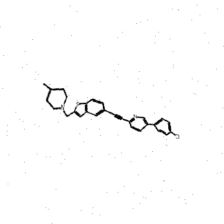 CC1CCN(Cc2cc3cc(C#Cc4ccc(-c5ccc(Cl)cc5)cn4)ccc3s2)CC1